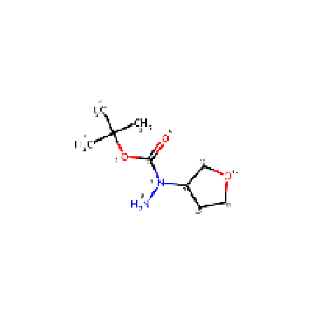 CC(C)(C)OC(=O)N(N)C1CCOC1